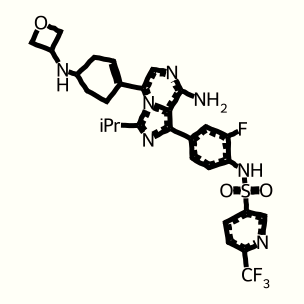 CC(C)c1nc(-c2ccc(NS(=O)(=O)c3ccc(C(F)(F)F)nc3)c(F)c2)c2c(N)ncc(C3=CCC(NC4COC4)CC3)n12